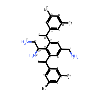 CCc1cc(CC)cc(C(C)c2cc(CN)cc(C(C)c3cc(CC)cc(CC)c3)c2C(N)CN)c1